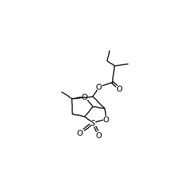 CCC(C)C(=O)OC1C2OS(=O)(=O)C3CC1(C)OC23